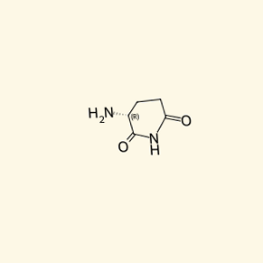 N[C@@H]1CCC(=O)NC1=O